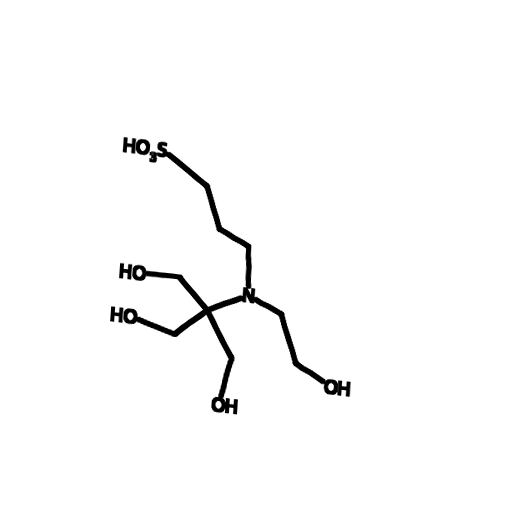 O=S(=O)(O)CCCN(CCO)C(CO)(CO)CO